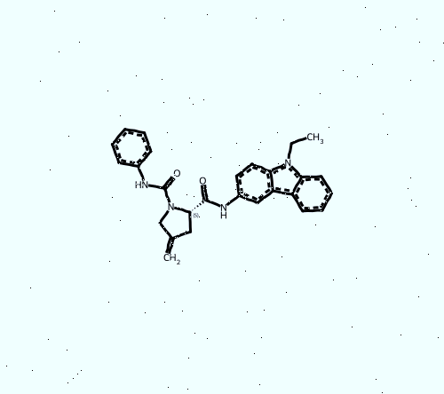 C=C1C[C@@H](C(=O)Nc2ccc3c(c2)c2ccccc2n3CC)N(C(=O)Nc2ccccc2)C1